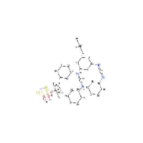 C(=NC1CCCCC1)=NC1CCCCC1.C(=NC1CCCCC1)=NC1CCCCC1.CC(C)=O.O=[SH2].O=[SH2].[CH3][Al+][CH3].[CH3][Al+][CH3].[O-2]